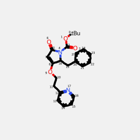 CC(C)(C)OC(=O)N1C(=O)C=C(OCCc2ccccn2)C1Cc1ccccc1